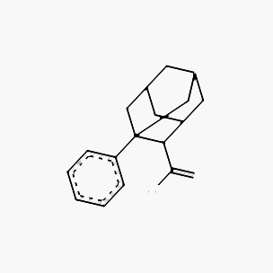 O=C(O)C1C2CC3CC(C2)CC1(c1ccccc1)C3